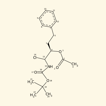 CC(=O)O[C@H](CCc1ccccc1)C(Cl)NC(=O)OC(C)(C)C